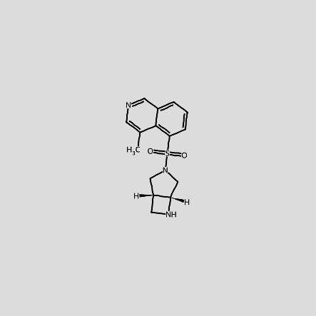 Cc1cncc2cccc(S(=O)(=O)N3C[C@H]4CN[C@H]4C3)c12